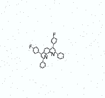 Fc1ccc(-c2cc(-c3ccccc3)nc3c2ccc2c(-c4ccc(F)cc4)cc(-c4ccccc4)nc23)cc1